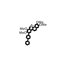 COc1cc2ccc3c4cc(-c5ccc(-c6ccccc6)cc5)c(OC)c(OC)c4c[n+](C)c3c2cc1OC